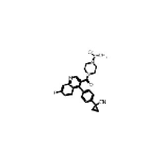 C[S+]([O-])N1CCN(C(=O)c2cnc3cc(F)ccc3c2-c2ccc(C3(C#N)CC3)cc2)CC1